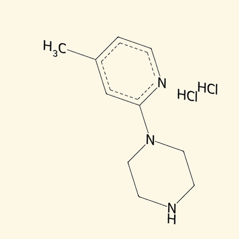 Cc1ccnc(N2CCNCC2)c1.Cl.Cl